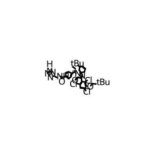 CC1C=CCC2(C1)N=C(c1c(Cl)cc(Cl)c(OCCC(C)(C)C)c1Cl)C(=O)N2[C@H](CCC(C)(C)C)c1ccc(C(=O)NCc2nn[nH]n2)cc1